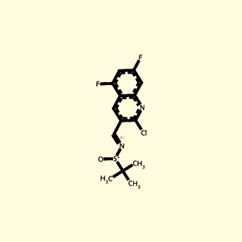 CC(C)(C)[S+]([O-])/N=C/c1cc2c(F)cc(F)cc2nc1Cl